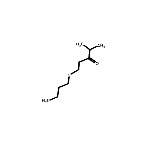 CC(C)C(=O)CCSCCC[SiH3]